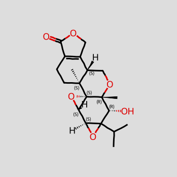 CC(C)C12O[C@H]1[C@@H]1O[C@@]13[C@@]1(C)CCC4=C(COC4=O)[C@@H]1CO[C@]3(C)[C@@H]2O